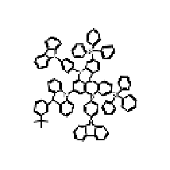 CC(C)(C)c1cccc(C2c3ccccc3N(c3cc4c5c(c3)N(c3ccc(-n6c7ccccc7c7ccccc76)cc3)c3cc([Si](c6ccccc6)(c6ccccc6)c6ccccc6)ccc3B5c3ccc([Si](c5ccccc5)(c5ccccc5)c5ccccc5)cc3N4c3ccc(-n4c5ccccc5c5ccccc54)cc3)c3ccccc32)c1